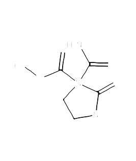 CC(C)OC(=O)[N+]1(C(N)=O)CCNC1=O